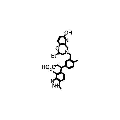 CC[C@@H]1CN(Cc2cc(C(CC(=O)O)c3ccc4c(nnn4C)c3C)ccc2C)Cc2nc(O)ccc2O1